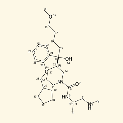 CNC[C@H](C)NC(=O)N1CCC[C@@H](C(O)(CCCCOC)c2ccccc2OCC2CCCC2)C1